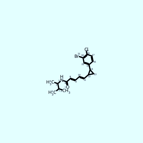 CC(C)C(C)NC(=O)C=CC=CC1CC1c1ccc(Cl)c(Br)c1